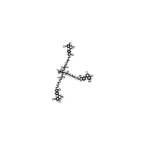 CN1Cc2c(Cl)cc(Cl)cc2C(c2ccc3c(c2)C(=O)N(CCOCCOCCNC(=O)CCC(CCC(=O)NCCOCCOCCN2Cc4ccc(C5CN(C)Cc6c(Cl)cc(Cl)cc65)cc4C2=O)(CCC(=O)NCCOCCOCCN2Cc4ccc(C5CN(C)Cc6c(Cl)cc(Cl)cc65)cc4C2=O)NC(=O)N(C)C)C3)C1